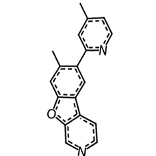 Cc1ccnc(-c2cc3c(cc2C)oc2cnccc23)c1